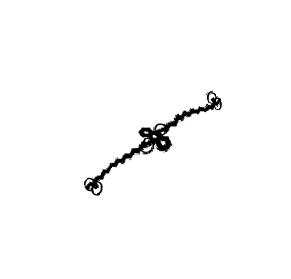 COC(=O)CCCCCCCCCCCCCOc1c2ccccc2c(OCCCCCCCCCCCCCC(=O)OC)c2ccccc12